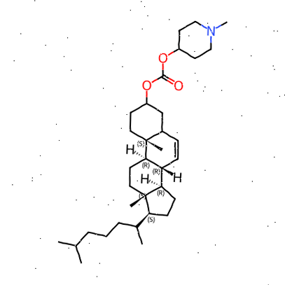 CC(C)CCCC(C)[C@@H]1CC[C@@H]2[C@H]3C=CC4CC(OC(=O)OC5CCN(C)CC5)CC[C@@]4(C)[C@@H]3CC[C@]21C